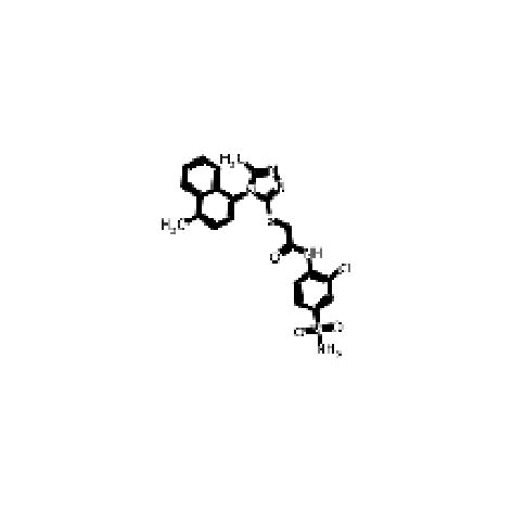 Cc1ccc(-n2c(C)nnc2SCC(=O)Nc2ccc(S(N)(=O)=O)cc2Cl)c2ccccc12